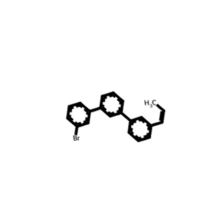 C/C=C\c1cccc(-c2cccc(-c3cccc(Br)c3)c2)c1